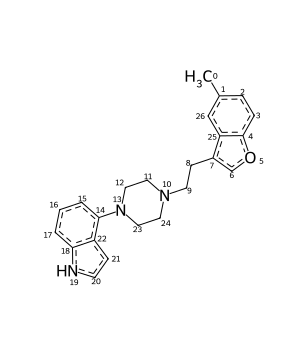 Cc1ccc2occ(CCN3CCN(c4cccc5[nH]ccc45)CC3)c2c1